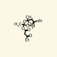 CCCC(=O)CC(C)(C)OC(C)(C)OC(=O)CC(=O)CC